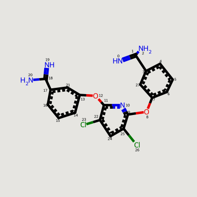 N=C(N)c1cccc(Oc2nc(Oc3cccc(C(=N)N)c3)c(Cl)cc2Cl)c1